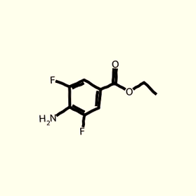 CCOC(=O)c1cc(F)c(N)c(F)c1